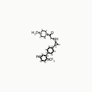 CN1CCN(C(=O)CNC2CC2c2ccc(-c3cc(F)ccc3C(F)(F)F)cc2)CC1